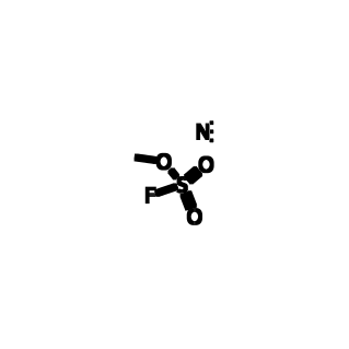 COS(=O)(=O)F.[N]